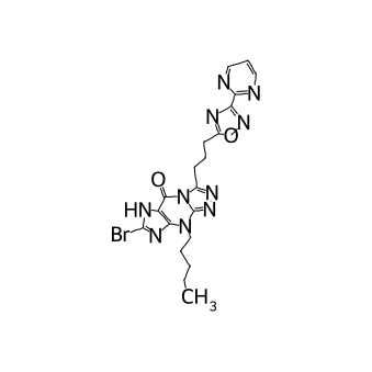 CCCCCn1c2nc(Br)[nH]c2c(=O)n2c(CCCc3nc(-c4ncccn4)no3)nnc12